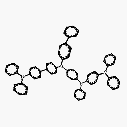 c1ccc(-c2ccc(N(c3ccc(-c4ccc(N(c5ccccc5)c5ccccc5)cc4)cc3)c3ccc(N(c4ccccc4)c4ccc(N(c5ccccc5)c5ccccc5)cc4)cc3)cc2)cc1